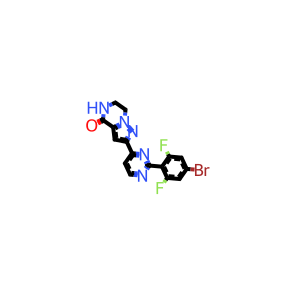 O=C1NCCn2nc(-c3ccnc(-c4c(F)cc(Br)cc4F)n3)cc21